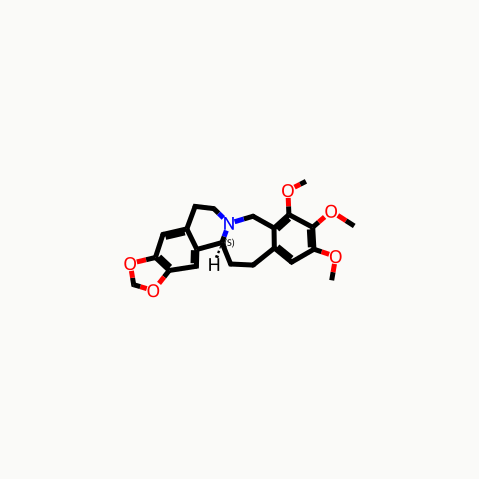 COc1cc2c(c(OC)c1OC)CN1CCc3cc4c(cc3[C@@H]1CC2)OCO4